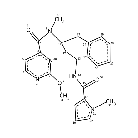 COc1nccc(C(=O)N(C)C(CCNC(=O)c2cccn2C)Cc2ccccc2)n1